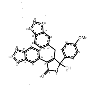 COc1ccc(C2(O)OC(=O)C(c3ccc4nsnc4c3)=C2Cc2ccc3nnsc3c2)cc1